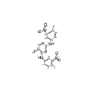 Cc1ccc(Nc2ncc(F)c(Nc3ccc(C)c([N+](=O)[O-])c3)n2)cc1[N+](=O)[O-]